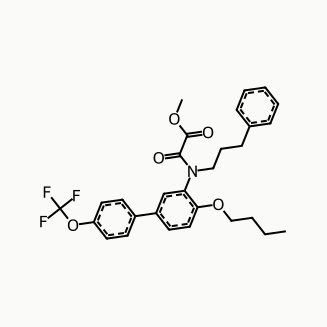 CCCCOc1ccc(-c2ccc(OC(F)(F)F)cc2)cc1N(CCCc1ccccc1)C(=O)C(=O)OC